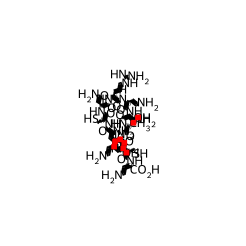 C[C@@H](O)[C@H](NC(=O)[C@H](CCN)NC(=O)[C@H](CCCNC(=N)N)NC(=O)[C@H](CC(N)=O)NC(=O)[C@H](CS)NC(=O)[C@@H](N)Cc1ccc(O)cc1)C(=O)N[C@H](CCN)C(=O)N[C@@H](CCCCN)C(=O)N[C@@H](CS)C(=O)N[C@@H](CCN)C(=O)O